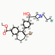 COC(=O)c1ccc2c(c1)CCCC(Br)=C2c1ccc(C(O)C2CN(CCCF)C2)cc1